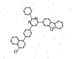 Clc1ccc(-c2ccc(-c3cc(-c4ccc5c(c4)oc4ccccc45)nc(-c4ccccc4)n3)cc2)c2ccccc12